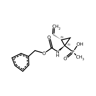 C=C[C@@H]1C[C@]1(NC(=O)OCc1ccccc1)P(C)(=O)O